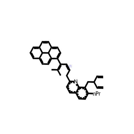 C=CC(C=C)Cc1c(CCC)ccc2ccc(C/C=C\C(C3=CC=C4C=CC5=CC=CC6=CC=C3C4C56)=C(C)C)nc12